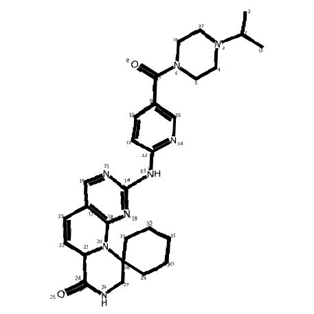 CC(C)N1CCN(C(=O)c2ccc(Nc3ncc4c(n3)N3C(C=C4)C(=O)NCC34CCCCC4)nc2)CC1